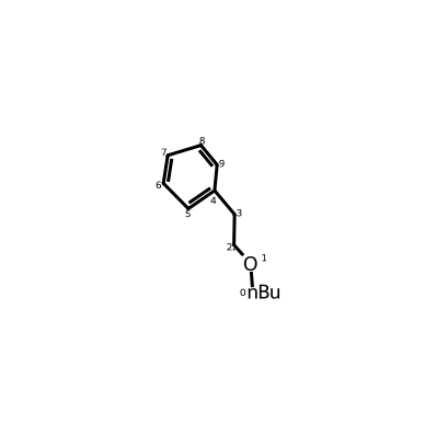 CCCCO[CH]Cc1ccccc1